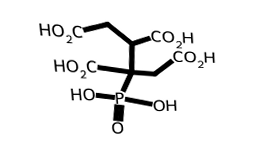 O=C(O)CC(C(=O)O)C(CC(=O)O)(C(=O)O)P(=O)(O)O